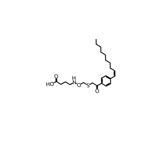 CCCCCCCC/C=C\c1ccc(C(=O)CSCONCCCC(=O)O)cc1